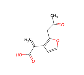 C=C(C(=O)O)c1ccoc1CC(C)=O